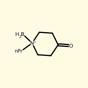 B[N+]1(CCC)CCC(=O)CC1